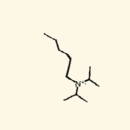 CCCCC[N+](C(C)C)C(C)C